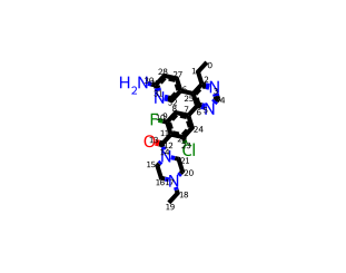 CCc1ncnc(-c2cc(F)c(C(=O)N3CCN(CC)CC3)c(Cl)c2)c1-c1ccc(N)nc1